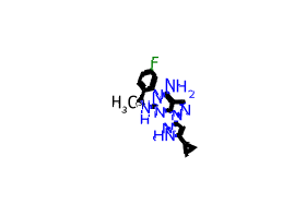 C[C@H](Nc1nc(N)c2cnn(-c3cc(C4CC4)[nH]n3)c2n1)c1ccc(F)cc1